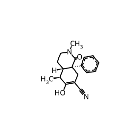 C[C@@H]1C(O)=C(C#N)C[C@]2(c3ccccc3)C(=O)N(C)CC[C@@H]12